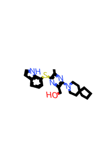 Cc1nc(N2CCC3(CCCC3)CC2)c(CO)nc1Sc1cccc2cc[nH]c12